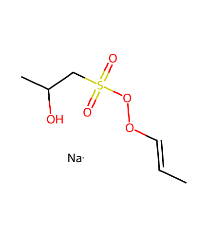 CC=COOS(=O)(=O)CC(C)O.[Na]